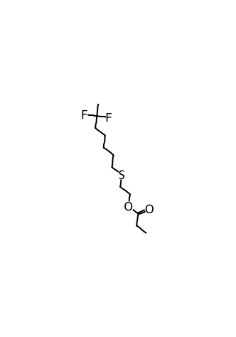 CCC(=O)OCCSCCCCCC(C)(F)F